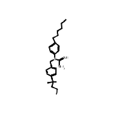 CCCCCCc1ccc(N(Cc2ccc(C(C)(C)CCC)cc2)C(=N)N)cc1